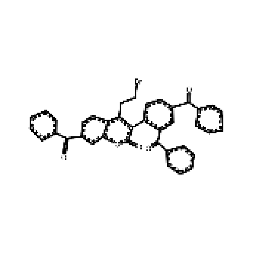 O=C(c1ccccc1)c1ccc(-c2c(CCBr)c3ccc(C(=O)c4ccccc4)cc3oc2=O)c(C(=O)c2ccccc2)c1